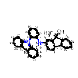 CN(c1ccc2c(c1)C(C)(C)c1ccccc1-2)c1ccccc1-n1c2ccccc2c2ccccc21